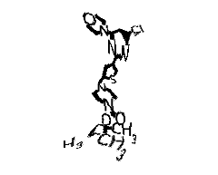 CC(C)(C)OC(=O)N1CCN(CC2=CC(c3nc(Cl)cc(N4CCOCC4)n3)CS2)CC1